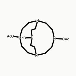 CC(=O)ON1CCN2CCN(OC(C)=O)CCN(CC1)CCN(OC(C)=O)CC2